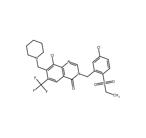 CCS(=O)(=O)c1ccc(Cl)cc1Cn1cnc2c(Cl)c(CN3CCCCC3)c(C(F)(F)F)cc2c1=O